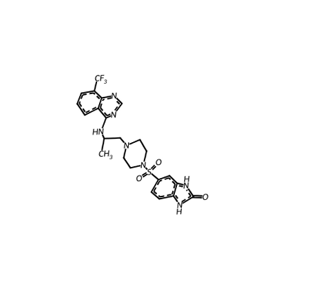 CC(CN1CCN(S(=O)(=O)c2ccc3[nH]c(=O)[nH]c3c2)CC1)Nc1ncnc2c(C(F)(F)F)cccc12